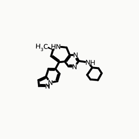 C[C@@H]1C=C(c2ccn3nccc3c2)c2cnc(NC3CCCCC3)nc2CN1